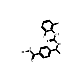 CC(NC(=O)Nc1c(F)cccc1F)c1ccc(C(=O)NO)cc1